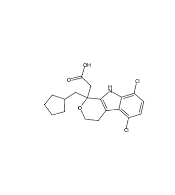 O=C(O)CC1(CC2CCCC2)OCCc2c1[nH]c1c(Cl)ccc(Cl)c21